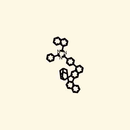 c1ccc(-c2nc(-c3ccc(-c4cccc5cc6c(cc45)C4(c5ccc7ccccc7c5-6)C5CC6CC(C5)CC4C6)cc3)nc(-c3cccc4ccccc34)n2)cc1